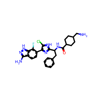 NCC1CCC(C(=O)NC(Cc2ccccc2)c2nc(-c3ccc4c(N)n[nH]c4c3F)c(Cl)[nH]2)CC1